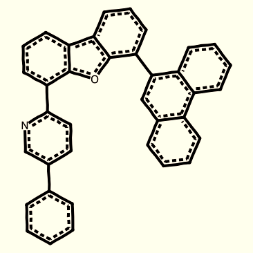 c1ccc(-c2ccc(-c3cccc4c3oc3c(-c5cc6ccccc6c6ccccc56)cccc34)nc2)cc1